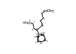 CCCCCCCCCCCCCCC(CCCCCCCCCCCC)[n+]1ccccc1